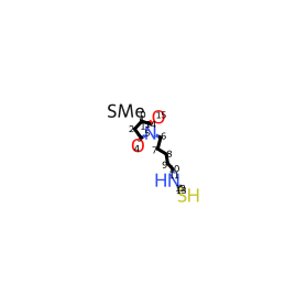 CSC1CC(=O)N(CCCCCNCS)C1=O